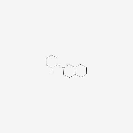 C1CC[C@H]([C@@H]2CCC3CCCCN3C2)NC1